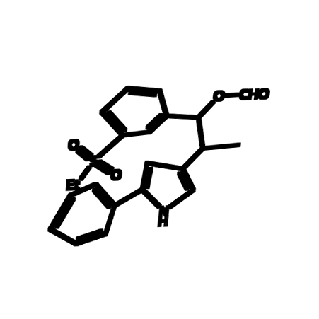 CCS(=O)(=O)c1cccc(C(OC=O)C(C)c2c[nH]c(-c3ccccc3)c2)c1